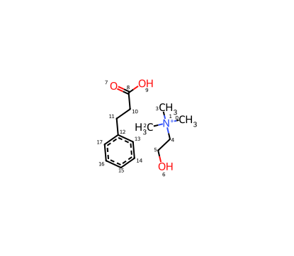 C[N+](C)(C)CCO.O=C(O)CCc1ccccc1